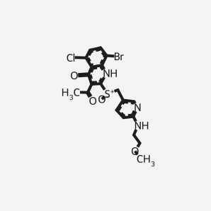 COCCNc1ccc(C[S+]([O-])c2[nH]c3c(Br)ccc(Cl)c3c(=O)c2C(C)=O)cn1